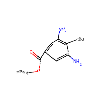 CCCCCOC(=O)c1cc(N)c(C(C)(C)C)c(N)c1